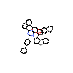 c1ccc(-c2ccc(-c3nc(-c4ccccc4-c4cccc5c4-c4ccccc4C5)nc(-c4cccc5cccc(-c6ccc7oc8cc9ccccc9cc8c7c6)c45)n3)cc2)cc1